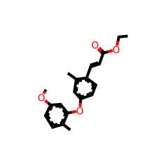 CCOC(=O)/C=C/c1ccc(Oc2cc(OC)ccc2C)cc1C